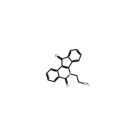 CCCn1c2c(c3ccccc3c1=O)C(=O)c1ccccc1-2